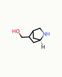 OCC1C[C@H]2CC1CN2